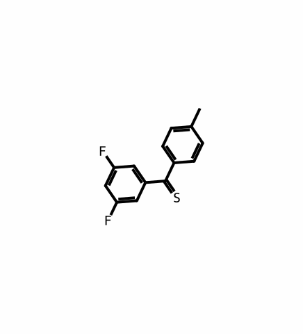 Cc1ccc(C(=S)c2cc(F)cc(F)c2)cc1